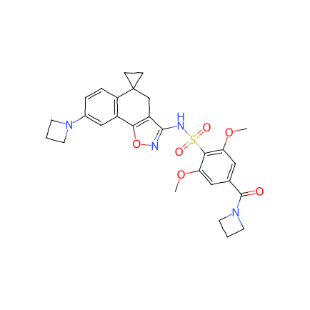 COc1cc(C(=O)N2CCC2)cc(OC)c1S(=O)(=O)Nc1noc2c1CC1(CC1)c1ccc(N3CCC3)cc1-2